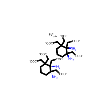 NC1(CC(=O)[O-])CCCC(CC(=O)[O-])(CC(=O)[O-])C1(N)CC(=O)[O-].N[C@]1(CC(=O)[O-])CCCC(CC(=O)[O-])(CC(=O)[O-])[C@]1(N)CC(=O)[O-].[Pt+4].[Pt+4]